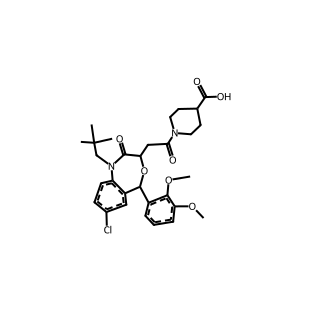 COc1cccc(C2OC(CC(=O)N3CCC(C(=O)O)CC3)C(=O)N(CC(C)(C)C)c3ccc(Cl)cc32)c1OC